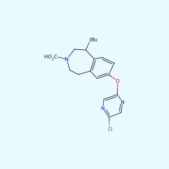 CC(C)(C)C1CN(C(=O)O)CCc2cc(Oc3cnc(Cl)cn3)ccc21